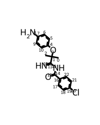 CC(C)(Oc1ccc(N)cc1)C(=N)NC(=O)c1ccc(Cl)cc1